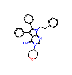 N=c1c2c(-c3ccccc3)c(-c3ccccc3)n(CCc3ccccc3)c2ncn1C1CCOCC1